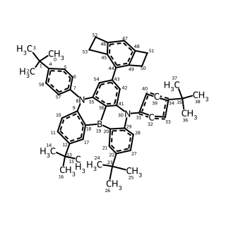 CC(C)(C)c1ccc(N2c3ccc(C(C)(C)C)cc3B3c4cc(C(C)(C)C)ccc4N(c4ccc(C(C)(C)C)cc4)c4cc(-c5c6c(cc7c5CC7)CC6)cc2c43)cc1